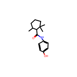 CC1CCCC(C)(C)C1C(=O)Nc1ccc(O)cc1